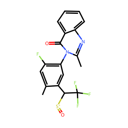 Cc1cc(F)c(-n2c(C)nc3ccccc3c2=O)cc1C([S+]=O)C(F)(F)F